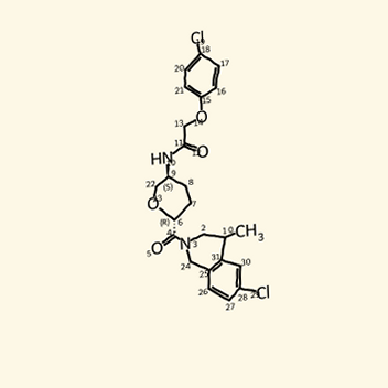 CC1CN(C(=O)[C@H]2CC[C@H](NC(=O)COc3ccc(Cl)cc3)CO2)Cc2ccc(Cl)cc21